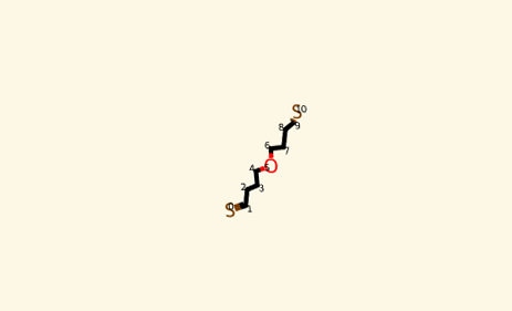 S=CCCCOCCCC=S